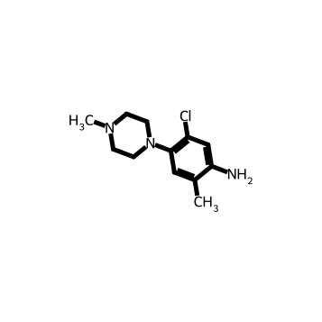 Cc1cc(N2CCN(C)CC2)c(Cl)cc1N